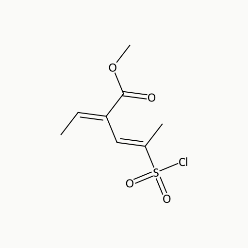 C/C=C(\C=C(/C)S(=O)(=O)Cl)C(=O)OC